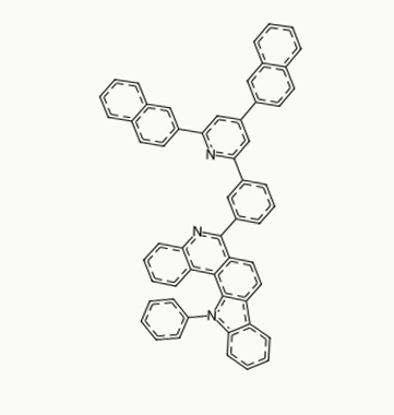 c1ccc(-n2c3ccccc3c3ccc4c(-c5cccc(-c6cc(-c7ccc8ccccc8c7)cc(-c7ccc8ccccc8c7)n6)c5)nc5ccccc5c4c32)cc1